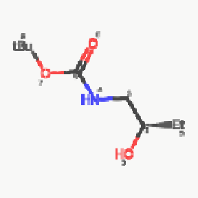 CC[C@@H](O)CNC(=O)OC(C)(C)C